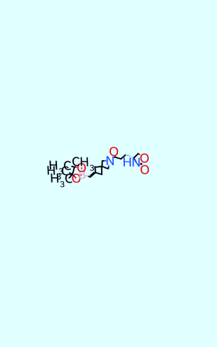 CC1(C)OB(C=C2CC3(C2)CN(C(=O)CC[C@@H]2COC(=O)N2)C3)OC1(C)C